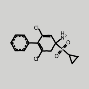 NC1(S(=O)(=O)C2CC2)C=C(Cl)C(c2ccccc2)=C(Cl)C1